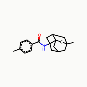 Cc1ccc(C(=O)NC23CC4CC5(C)CC(C2)C3(C4)C5)cc1